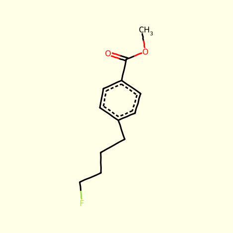 COC(=O)c1ccc(CCCCF)cc1